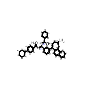 C=C(/N=C(\N=C(/C)c1ccccc1)c1cccc(C2=CCC(C)=Nc3c2ccc2cccnc32)c1)c1ccc(C2=CCCCC2)cc1